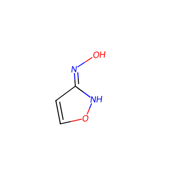 ON=c1cco[nH]1